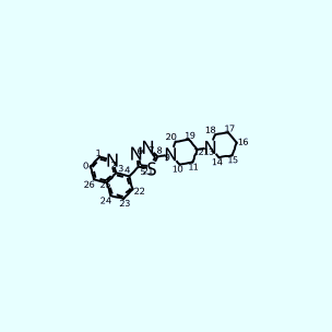 c1cnc2c(-c3nnc(N4CCC(N5CCCCC5)CC4)s3)cccc2c1